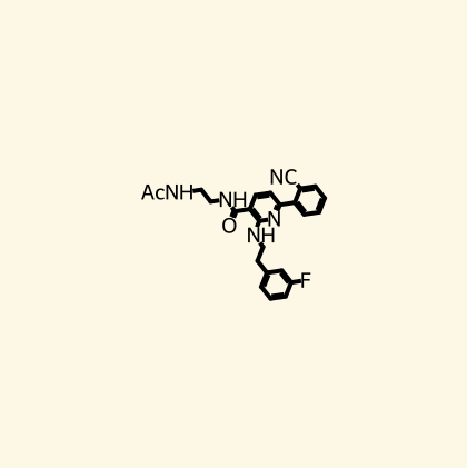 CC(=O)NCCNC(=O)c1ccc(-c2ccccc2C#N)nc1NCCc1cccc(F)c1